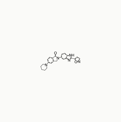 O=C1c2ccc(N3CCCCC3)cc2CN1c1ccc2[nH]c(-c3ccno3)nc2c1